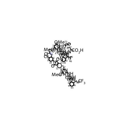 CCOC(=O)/C(Cl)=C/c1cc(N2C(=O)C3=C(CCCC3)C2=O)ccc1Cl.COc1cc(OC)nc(NC(=O)NS(=O)(=O)c2ncccc2C(=O)N(C)C)n1.COc1nc(C)nc(NC(=O)NS(=O)(=O)c2ccccc2CCC(F)(F)F)n1.CP(=O)(O)CCC(N)C(=O)O